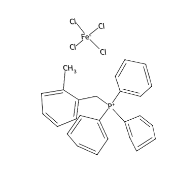 Cc1ccccc1C[P+](c1ccccc1)(c1ccccc1)c1ccccc1.[Cl][Fe-]([Cl])([Cl])[Cl]